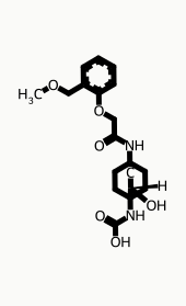 COCc1ccccc1OCC(=O)NC12CCC(NC(=O)O)(CC1)[C@@H](O)C2